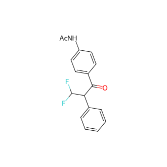 CC(=O)Nc1ccc(C(=O)C(c2ccccc2)C(F)F)cc1